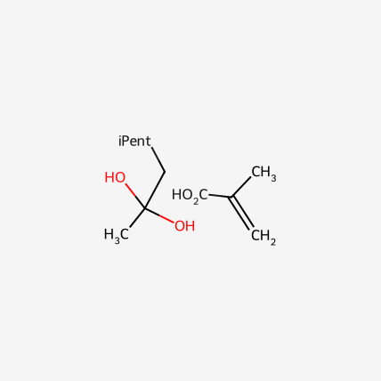 C=C(C)C(=O)O.CCCC(C)CC(C)(O)O